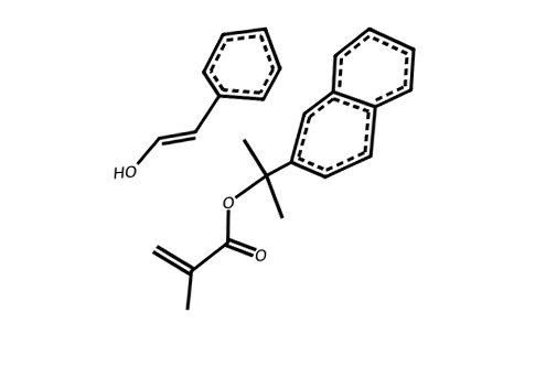 C=C(C)C(=O)OC(C)(C)c1ccc2ccccc2c1.OC=Cc1ccccc1